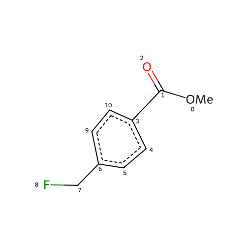 COC(=O)c1ccc(CF)cc1